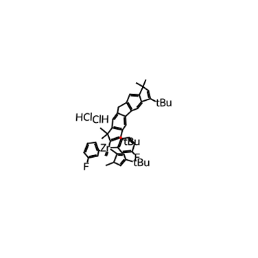 Cl.Cl.[CH2]=[Zr]([C]1=CC(C(C)(C)C)=CC1C)([C]1=C(C(C)(C)C)c2cc3c(cc2C1(C)C)Cc1cc2c(cc1-3)C(C(C)(C)C)=CC2(C)C)([c]1cccc(F)c1)[c]1cccc(F)c1